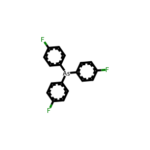 Fc1ccc([As](c2ccc(F)cc2)c2ccc(F)cc2)cc1